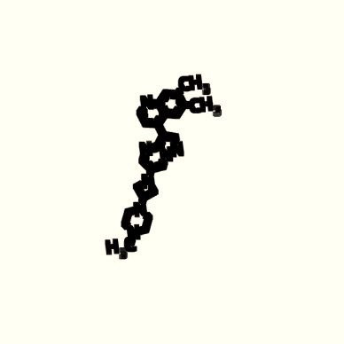 Cc1cc2nccc(-c3cnn4cc(N5CC(N6CCN(C)CC6)C5)cnc34)c2cc1C